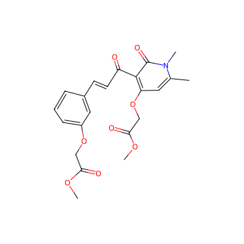 COC(=O)COc1cccc(C=CC(=O)c2c(OCC(=O)OC)cc(C)n(C)c2=O)c1